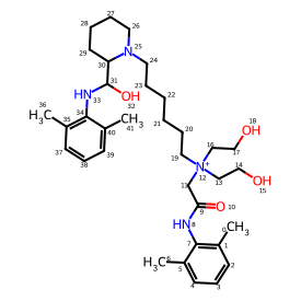 Cc1cccc(C)c1NC(=O)C[N+](CCO)(CCO)CCCCCCN1CCCCC1C(O)Nc1c(C)cccc1C